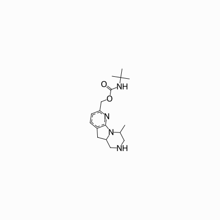 CC1CNCC2Cc3ccc(COC(=O)NC(C)(C)C)nc3N12